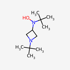 CC(C)(C)N1CC(N(O)C(C)(C)C)C1